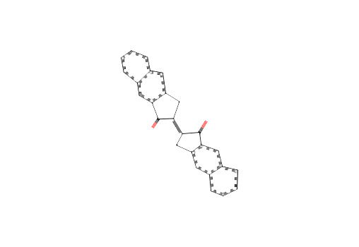 O=C1/C(=C2\Cc3cc4ccccc4cc3C2=O)Cc2cc3ccccc3cc21